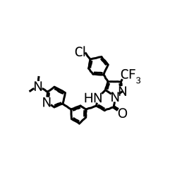 CN(C)c1ccc(-c2cccc(-c3cc(=O)n4nc(C(F)(F)F)c(-c5ccc(Cl)cc5)c4[nH]3)c2)cn1